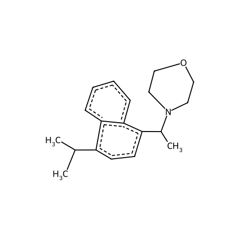 CC(C)c1ccc(C(C)N2CCOCC2)c2ccccc12